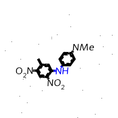 CNc1ccc(Nc2cc(C)c([N+](=O)[O-])cc2[N+](=O)[O-])cc1